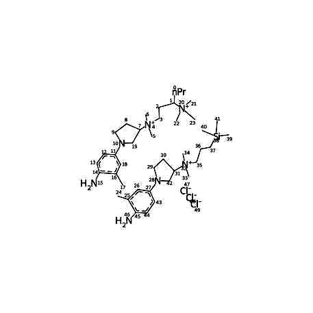 CCCC(CC[N+](C)(C)C1CCN(c2ccc(N)c(C)c2)C1)[N+](C)(C)C.Cc1cc(N2CCC([N+](C)(C)CCC[Si](C)(C)C)C2)ccc1N.[Cl-].[Cl-].[Cl-]